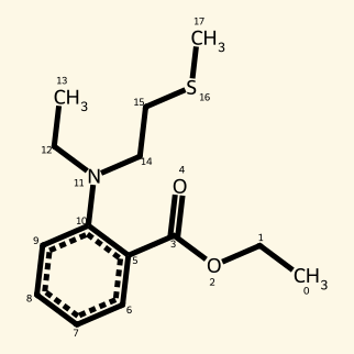 CCOC(=O)c1ccccc1N(CC)CCSC